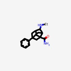 CCNC1C2CC3(c4ccccc4)CC1C(C(N)=O)(C2)C3